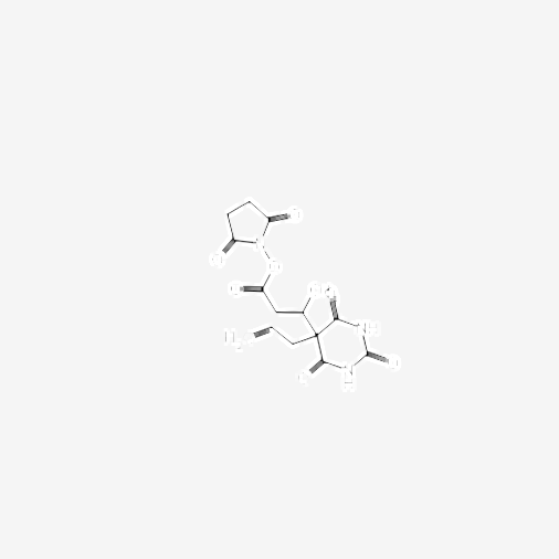 C=CCC1(C(C)CC(=O)ON2C(=O)CCC2=O)C(=O)NC(=O)NC1=O